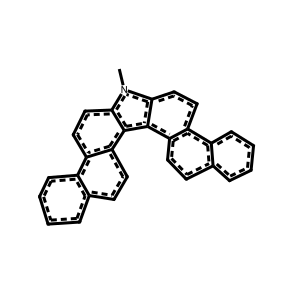 Cn1c2ccc3c4ccccc4ccc3c2c2c3ccc4ccccc4c3ccc21